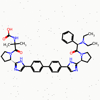 CCN(CC)[C@@H](C(=O)N1CCC[C@H]1c1ncc(-c2ccc(-c3ccc(-c4cnc([C@@H]5CCCN5C(=O)C(C)(C)NC(=O)O)[nH]4)cc3)cc2)[nH]1)c1ccccc1